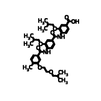 Cc1ccc(C(=O)Nc2ccc(C(=O)Nc3ccc(C(=O)O)cc3OCC(C)C)cc2OCC(C)C)cc1OCCOCC(C)C